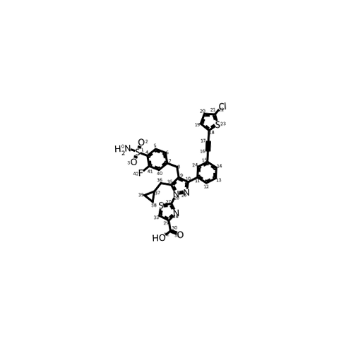 NS(=O)(=O)c1ccc(Cc2c(-c3cccc(C#Cc4ccc(Cl)s4)c3)nn(-c3nc(C(=O)O)cs3)c2CC2CC2)cc1F